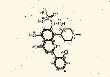 CN1CCC(c2c(OP(=O)(O)O)cc(O)c3c(=O)cc(-c4ccccc4Cl)oc23)[C@H](O)C1